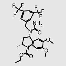 CCOC(=O)N1c2cc(OC)c(OC)cc2[C@@H](N(Cc2cc(C(F)(F)F)cc(C(F)(F)F)c2)C(N)=O)C[C@H]1C